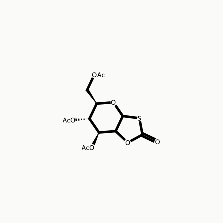 CC(=O)OC[C@H]1OC2SC(=O)OC2[C@@H](OC(C)=O)[C@@H]1OC(C)=O